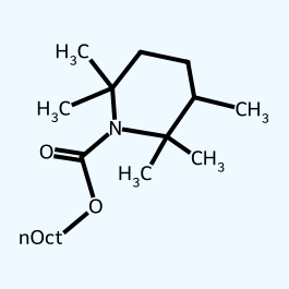 CCCCCCCCOC(=O)N1C(C)(C)CCC(C)C1(C)C